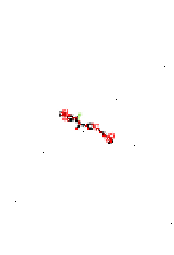 C#C/C(C#Cc1ccc(OCCCCCCOC(=O)C(=C)C)cc1)=C\C=C(/CF)c1ccc(OC(=O)C(=C)C)cc1